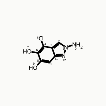 Nn1cc2c(Cl)c(O)c(O)cc2n1